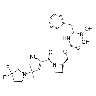 CC(C)(C=C(C#N)C(=O)N1CC[C@@H]1COC(=O)NC(Cc1ccccc1)B(O)O)N1CCC(F)(F)C1